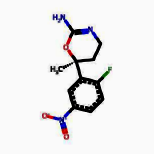 C[C@@]1(c2cc([N+](=O)[O-])ccc2F)CCN=C(N)O1